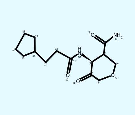 NC(=O)C1COCC(=O)[C@H]1NC(=O)[CH]CC1CCCC1